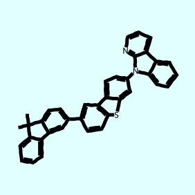 CC1(C)c2ccccc2-c2cc(-c3ccc4sc5cc(-n6c7ccccc7c7cccnc76)ccc5c4c3)ccc21